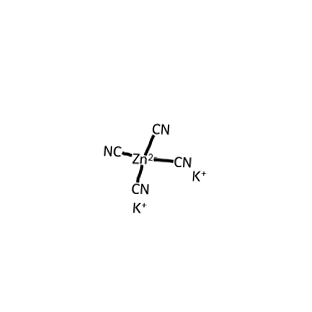 N#[C][Zn-2]([C]#N)([C]#N)[C]#N.[K+].[K+]